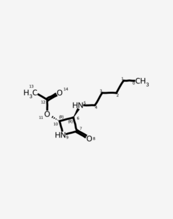 CCCCCN[C@H]1C(=O)N[C@@H]1OC(C)=O